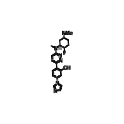 CNC1CCC(F)[C@@H](N(C)c2ccc(-c3ccc(-n4ccnc4)cc3O)nn2)C1